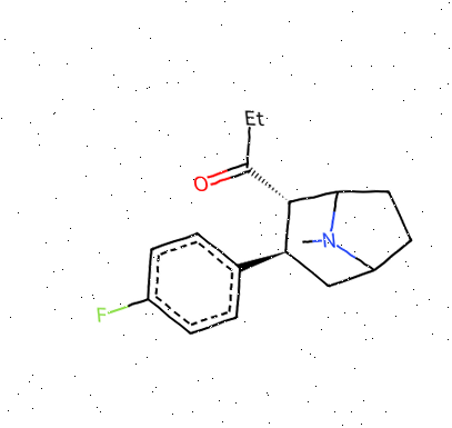 CCC(=O)[C@@H]1C2CCC(C[C@H]1c1ccc(F)cc1)N2C